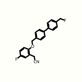 N#CCc1cc(F)ccc1OCc1ccc(-c2ccc(CF)cc2)cc1